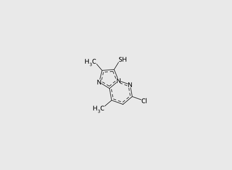 Cc1nc2c(C)cc(Cl)nn2c1S